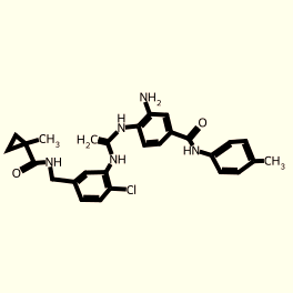 C=C(Nc1ccc(C(=O)Nc2ccc(C)cc2)cc1N)Nc1cc(CNC(=O)C2(C)CC2)ccc1Cl